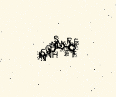 Cn1c(CC(=O)Nc2nccs2)c2n(c1=S)CC(c1c(F)c(F)cc(F)c1F)C2